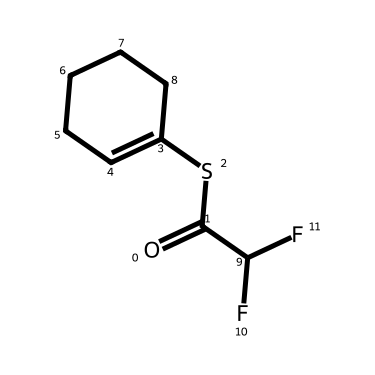 O=C(SC1=CCCCC1)C(F)F